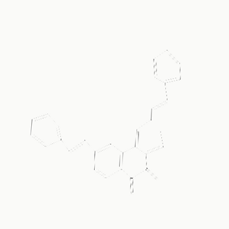 O=C1C(=O)c2ccc(/C=C/c3ccccc3)cc2-c2cc(/C=C/c3ccccc3)ccc21